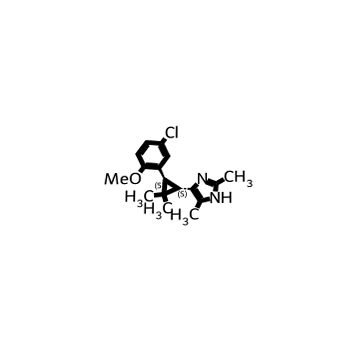 COc1ccc(Cl)cc1[C@H]1[C@H](c2nc(C)[nH]c2C)C1(C)C